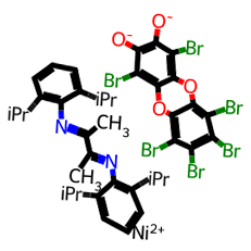 CC(=Nc1c(C(C)C)cccc1C(C)C)C(C)=Nc1c(C(C)C)cccc1C(C)C.[Ni+2].[O-]c1c([O-])c(Br)c2c(c1Br)Oc1c(Br)c(Br)c(Br)c(Br)c1O2